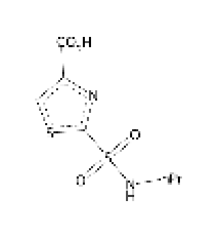 CCCNS(=O)(=O)c1nc(C(=O)O)cs1